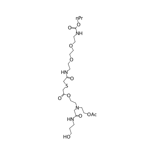 CCCOC(=O)NCCOCCOCCNC(=O)CSCC(=O)OCCN(CCOC(C)=O)CC(=O)NCCCO